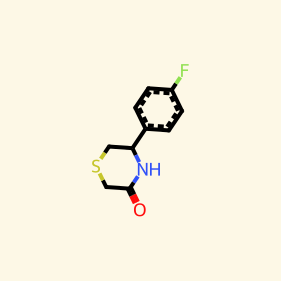 O=C1CSCC(c2ccc(F)cc2)N1